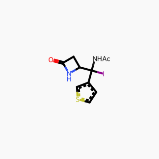 CC(=O)NC(I)(c1ccsc1)C1CC(=O)N1